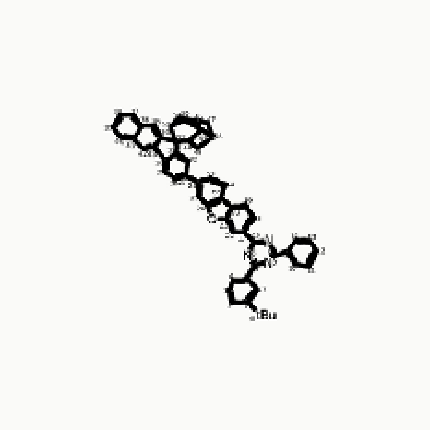 CC(C)(C)c1cccc(-c2nc(-c3ccccc3)nc(-c3ccc4c(c3)oc3cc(-c5ccc6c(c5)C5(c7cc8ccccc8cc7-6)C6CC7CC(C6)CC5C7)ccc34)n2)c1